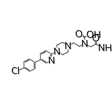 NC(=O)CN(CCN1CCN(c2ccc(-c3ccc(Cl)cc3)cn2)CC1)C(=O)O